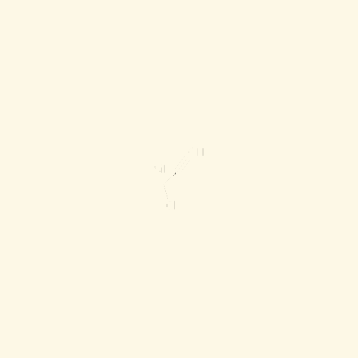 C#CCCl.[SiH4]